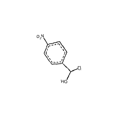 O=[N+]([O-])c1ccc(C(O)Cl)cc1